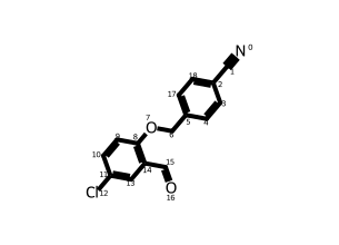 N#Cc1ccc(COc2ccc(Cl)cc2C=O)cc1